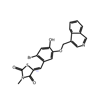 CN1C(=O)S/C(=C\c2cc(OCc3cncc4ccccc34)c(O)cc2Br)C1=O